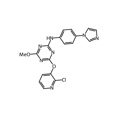 COc1nc(Nc2ccc(-n3ccnc3)cc2)nc(Oc2cccnc2Cl)n1